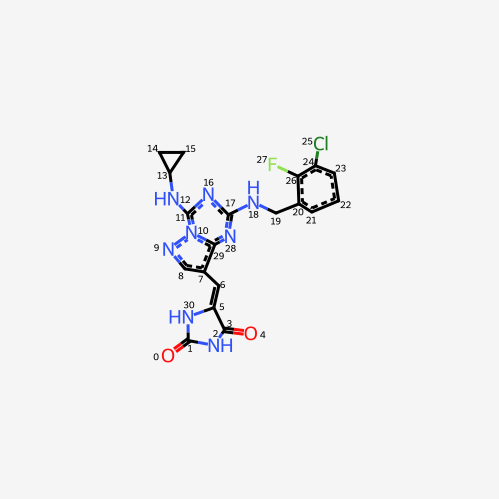 O=C1NC(=O)/C(=C/c2cnn3c(NC4CC4)nc(NCc4cccc(Cl)c4F)nc23)N1